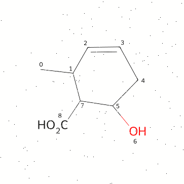 CC1C=CCC(O)C1C(=O)O